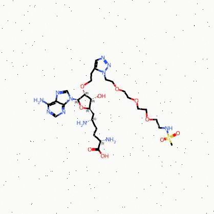 CS(=O)(=O)NCCOCCOCCOCCn1nncc1CCO[C@@H]1[C@H](O)[C@@H](C[C@@H](N)CC[C@H](N)C(=O)O)O[C@H]1n1cnc2c(N)ncnc21